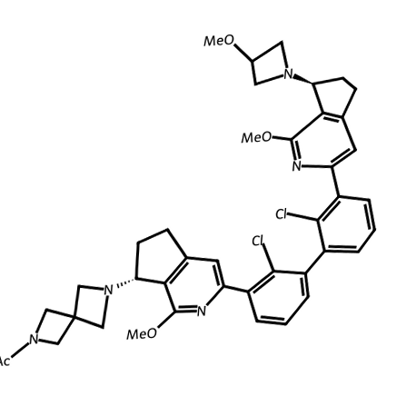 COc1nc(-c2cccc(-c3cccc(-c4cc5c(c(OC)n4)[C@@H](N4CC(OC)C4)CC5)c3Cl)c2Cl)cc2c1[C@H](N1CC3(CN(C(C)=O)C3)C1)CC2